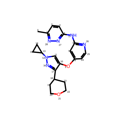 Cc1ccc(Nc2cc(Oc3cn(C4CC4)nc3C3CCOCC3)ccn2)nn1